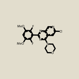 COc1cc(OC)c(F)c(-c2nc(N3CCOCC3)c3cc(Cl)ncc3n2)c1F